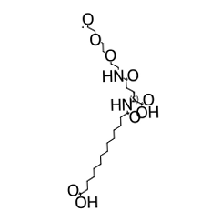 O=[C]COCCOCCNC(=O)CC[C@H](NC(=O)CCCCCCCCCCCCC(=O)O)C(=O)O